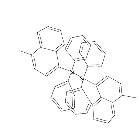 Cc1ccc([Si](c2ccccc2)(c2ccccc2)[Si](c2ccccc2)(c2ccccc2)c2ccc(C)c3ccccc23)c2ccccc12